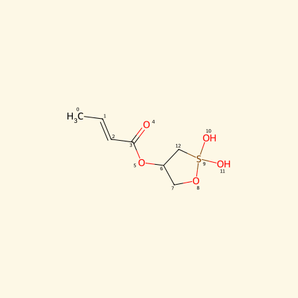 CC=CC(=O)OC1COS(O)(O)C1